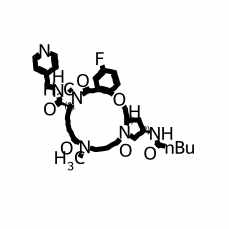 CCCCC(=O)N[C@@H]1C[C@H]2COc3ccc(F)cc3C(=O)N(C)[C@H](C(=O)NCc3ccncc3)CCC(=O)N(C)CCC(=O)N2C1